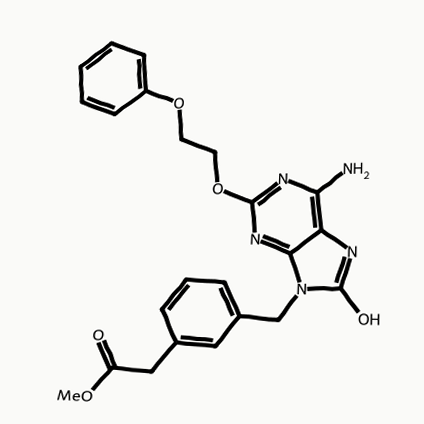 COC(=O)Cc1cccc(Cn2c(O)nc3c(N)nc(OCCOc4ccccc4)nc32)c1